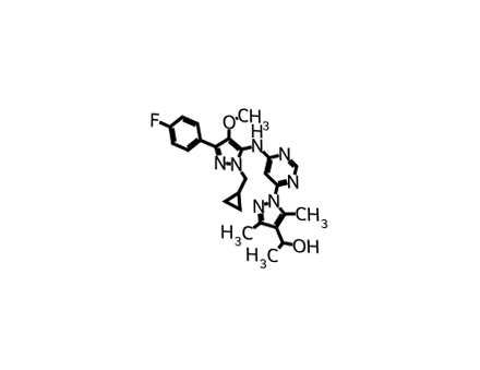 COc1c(-c2ccc(F)cc2)nn(CC2CC2)c1Nc1cc(-n2nc(C)c(C(C)O)c2C)ncn1